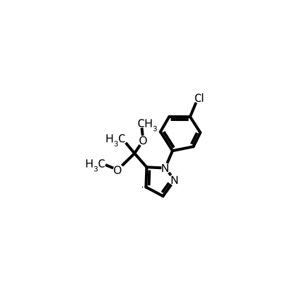 COC(C)(OC)c1[c]cnn1-c1ccc(Cl)cc1